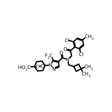 Cc1cc(Cl)c(C(=O)CN(CC2CC(C)(C)C2)C(=O)c2cnn(C34CCC(C(=O)O)(CC3)CC4)c2C(F)(F)F)c(Cl)c1